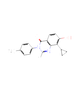 CC(C)c1nc2c(C3CC3)c(O)ccc2c(=O)n1-c1ccc(C#N)cc1